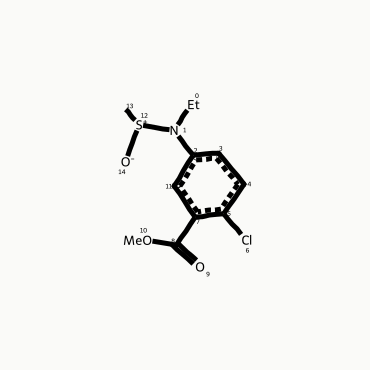 CCN(c1ccc(Cl)c(C(=O)OC)c1)[S+](C)[O-]